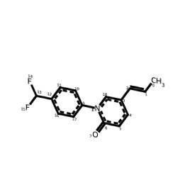 C/C=C/c1ccc(=O)n(-c2ccc(C(F)F)cc2)c1